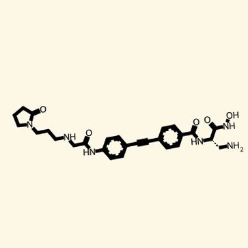 NC[C@H](NC(=O)c1ccc(C#Cc2ccc(NC(=O)CNCCCN3CCCC3=O)cc2)cc1)C(=O)NO